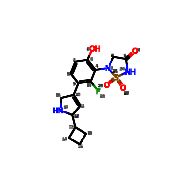 O=C1CN(c2c(O)ccc(C3=CC(C4CCC4)NC3)c2F)S(=O)(=O)N1